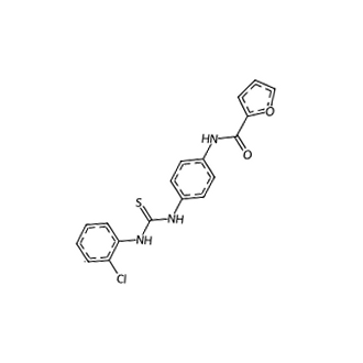 O=C(Nc1ccc(NC(=S)Nc2ccc[c]c2Cl)cc1)c1ccco1